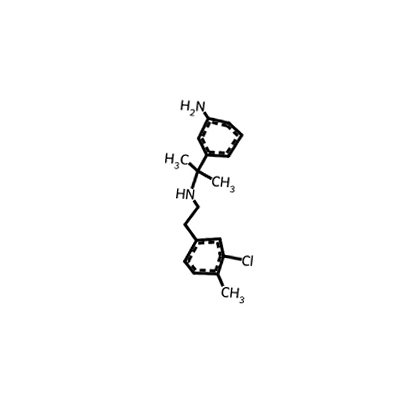 Cc1ccc(CCNC(C)(C)c2cccc(N)c2)cc1Cl